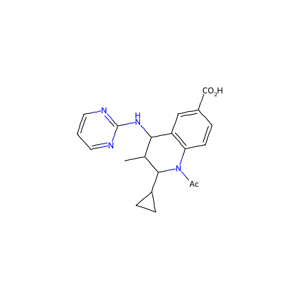 CC(=O)N1c2ccc(C(=O)O)cc2C(Nc2ncccn2)C(C)C1C1CC1